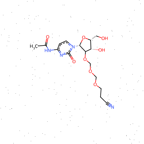 CC(=O)Nc1ccn([C@@H]2O[C@H](CO)[C@H](O)C2OCOCOCCC#N)c(=O)n1